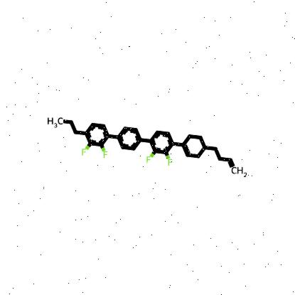 C=CCCC1CC=C(c2ccc(-c3ccc(-c4ccc(CCC)c(F)c4F)cc3)c(F)c2F)CC1